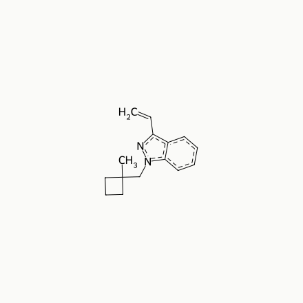 C=Cc1nn(CC2(C)CCC2)c2ccccc12